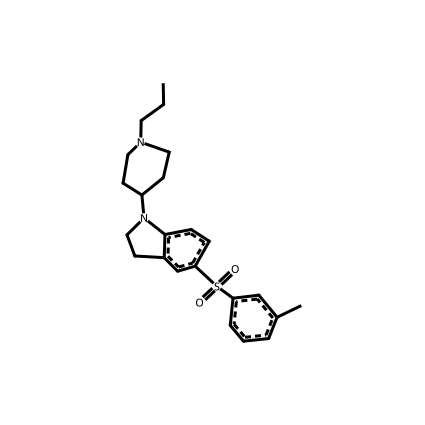 CCCN1CCC(N2CCc3cc(S(=O)(=O)c4cccc(C)c4)ccc32)CC1